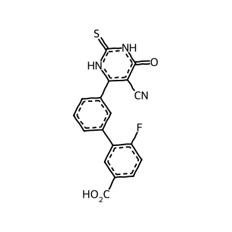 N#Cc1c(-c2cccc(-c3cc(C(=O)O)ccc3F)c2)[nH]c(=S)[nH]c1=O